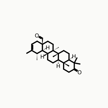 CC1=CC[C@]2(C=O)CC[C@]3(C)[C@H](CC[C@@H]4[C@@]5(C)CCC(=O)C(C)(C)[C@@H]5CC[C@]43C)[C@H]2[C@@H]1C